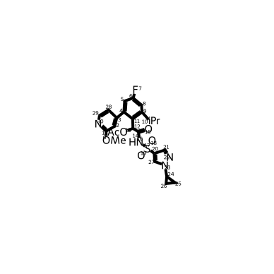 COc1cc(-c2cc(F)cc(C(C)C)c2C(OC(C)=O)C(=O)NS(=O)(=O)c2cnn(C3CC3)c2)ccn1